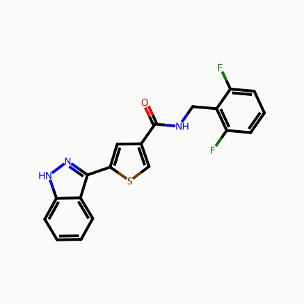 O=C(NCc1c(F)cccc1F)c1csc(-c2n[nH]c3ccccc23)c1